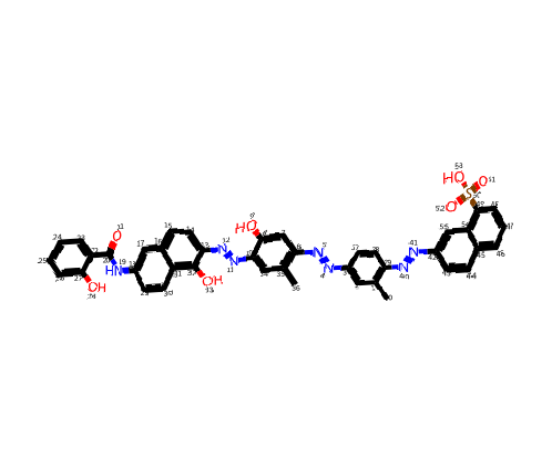 Cc1cc(N=Nc2cc(O)c(N=Nc3ccc4cc(NC(=O)c5ccccc5O)ccc4c3O)cc2C)ccc1N=Nc1ccc2cccc(S(=O)(=O)O)c2c1